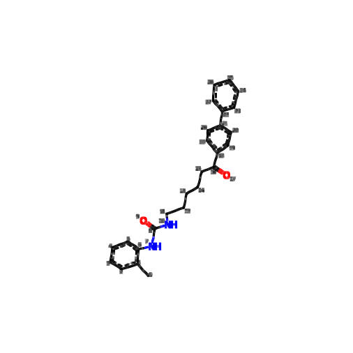 Cc1ccccc1NC(=O)NCCCCCC(=O)c1ccc(-c2ccccc2)cc1